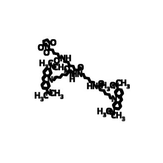 CN(C)c1ccc2cc3ccc(N(C)C)cc3[n+](CCCCCC(=O)NCCCCCNC(=O)C(CCCCNC(=O)CCCC(=O)N3C(=O)CCC3=O)NC(=O)CCCCC[n+]3c4cc(N(C)C)ccc4cc4ccc(N(C)C)cc43)c2c1